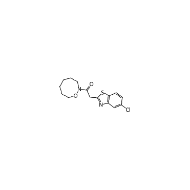 O=C(Cc1nc2cc(Cl)ccc2s1)N1CCCCCCO1